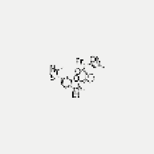 CC[C@@H](c1ccc(-c2scnc2C)cc1)N(C)C(=O)[C@@H]1CCCN1C(=O)C(c1cc(C)no1)C(C)C